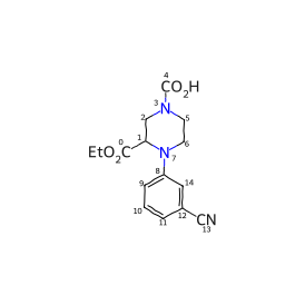 CCOC(=O)C1CN(C(=O)O)CCN1c1cccc(C#N)c1